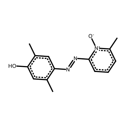 Cc1cc(N=Nc2cccc(C)[n+]2[O-])c(C)cc1O